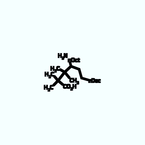 CCCCCCCCCCCCC(CCCCCCCC)C(C)(C)C(C)(C)C(=O)O.N